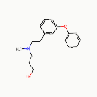 CN(CCCO)CCc1cccc(Oc2ccccc2)c1